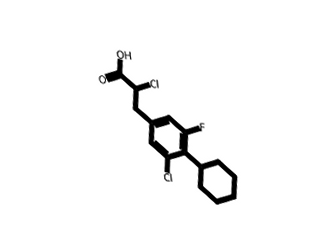 O=C(O)C(Cl)Cc1cc(F)c(C2CCCCC2)c(Cl)c1